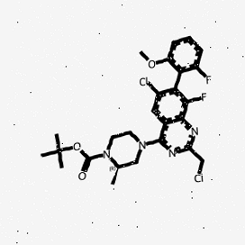 COc1cccc(F)c1-c1c(Cl)cc2c(N3CCN(C(=O)OC(C)(C)C)[C@H](C)C3)nc(CCl)nc2c1F